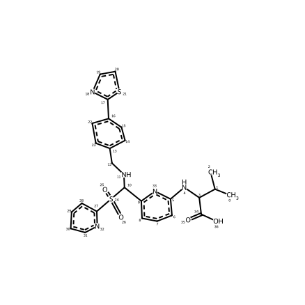 CC(C)C(Nc1cccc(C(NCc2ccc(-c3nccs3)cc2)S(=O)(=O)c2ccccn2)n1)C(=O)O